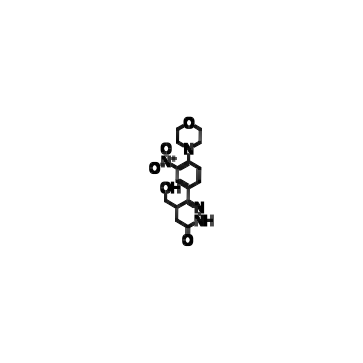 O=C1CC(CO)C(c2ccc(N3CCOCC3)c([N+](=O)[O-])c2)=NN1